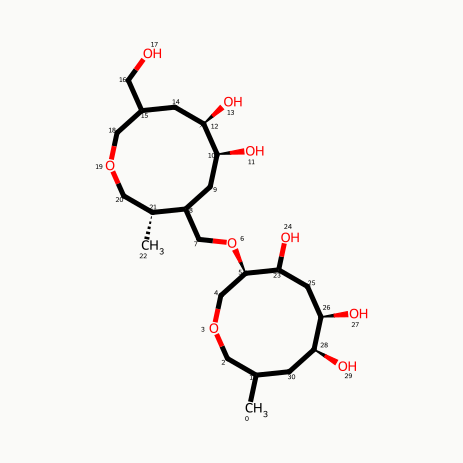 CC1COC[C@@H](OCC2C[C@H](O)[C@H](O)CC(CO)COC[C@H]2C)C(O)C[C@@H](O)[C@@H](O)C1